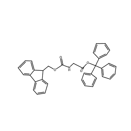 O=C(CNC(=O)OCC1c2ccccc2-c2ccccc21)OC(c1ccccc1)(c1ccccc1)c1ccccc1